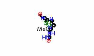 COc1nc(-c2cccc(-c3ccnc(-c4cc(Cl)c5c(c4)CCN(CC4COC4)C5)c3Cl)c2Cl)ccc1CNC[C@@H]1CCC(=O)N1